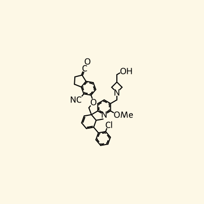 COc1nc(C2(COc3ccc4c(c3C#N)CCC4=C=O)C=CC=C(c3ccccc3Cl)C2C)ccc1CN1CC(CO)C1